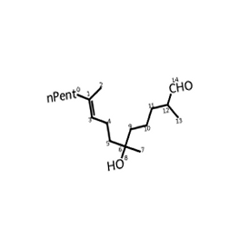 CCCCC/C(C)=C/CCC(C)(O)CCCC(C)C=O